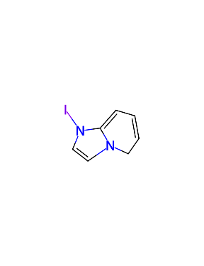 IN1C=CN2CC=CC=C12